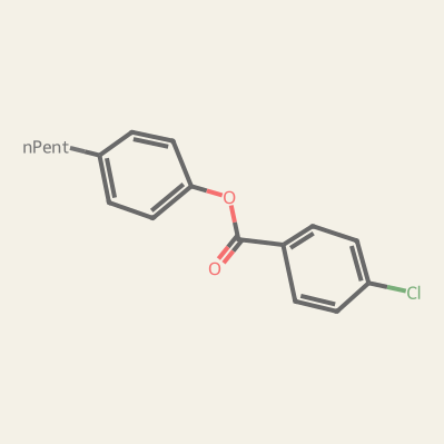 CCCCCc1ccc(OC(=O)c2ccc(Cl)cc2)cc1